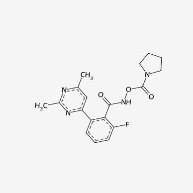 Cc1cc(-c2cccc(F)c2C(=O)NOC(=O)N2CCCC2)nc(C)n1